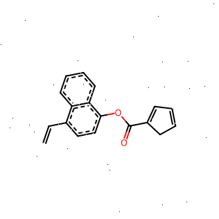 C=Cc1ccc(OC(=O)C2=CC=CC2)c2ccccc12